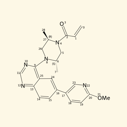 C=CC(=O)N1C[C@H](C)N(c2ncnc3ccc(-c4ccc(OC)nc4)cc23)C[C@H]1C